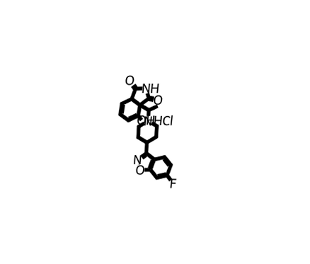 CC(N1CCC(c2noc3cc(F)ccc23)CC1)C12C(=O)NC(=O)C1C=CC=C2O.Cl